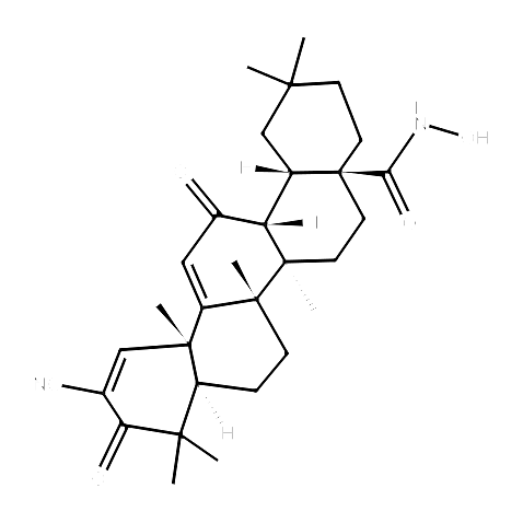 CC1(C)CC[C@]2(C(=O)NO)CC[C@]3(C)[C@H](C(=O)C=C4[C@@]5(C)C=C(C#N)C(=O)C(C)(C)[C@@H]5CC[C@]43C)[C@@H]2C1